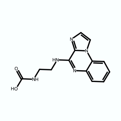 O=C(O)NCCNc1nc2ccccc2n2ccnc12